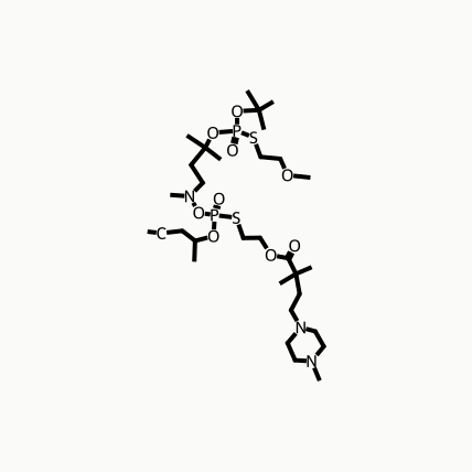 CCCC(C)OP(=O)(ON(C)CCC(C)(C)OP(=O)(OC(C)(C)C)SCCOC)SCCOC(=O)C(C)(C)CCN1CCN(C)CC1